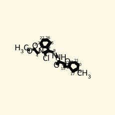 COC(=O)Cn1c(Cl)c(C=NNC(=O)c2cc3cc(C)ccc3o2)c2ccccc21